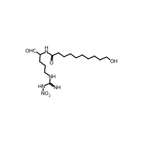 N=C(NCCCC(C=O)NC(=O)CCCCCCCCCO)N[N+](=O)[O-]